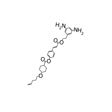 C=CCCCOC1CCC(C(=O)Oc2ccc(/C=C/C(=O)OCCc3cc(N)cc(N)c3)cc2)CC1